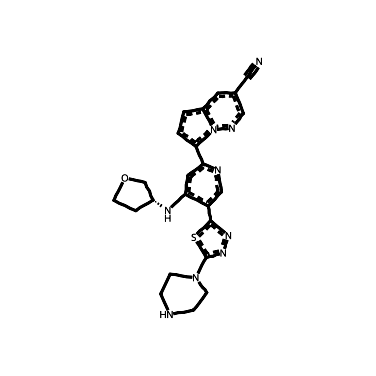 N#Cc1cnn2c(-c3cc(N[C@@H]4CCOC4)c(-c4nnc(N5CCNCC5)s4)cn3)ccc2c1